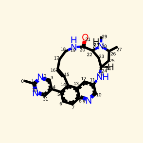 Cc1ncc(-c2ccc3ncc4cc3c2/C=C/CCNC(=O)[C@@H]2C[C@H](CC(C)N2C)N4)cn1